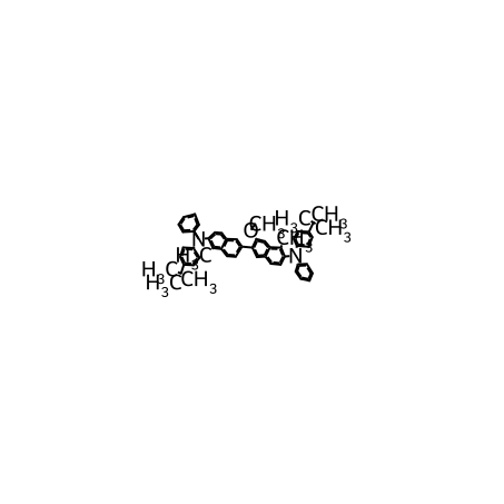 COc1cc2c(C)c(N(c3ccccc3)c3ccc(C(C)(C)C)cc3)ccc2cc1-c1ccc2c(C)c(N(c3ccccc3)c3ccc(C(C)(C)C)cc3)ccc2c1